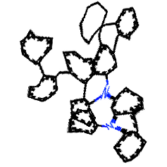 c1ccc(-c2ccccc2-c2ccccc2-c2ccccc2N(c2ccc3c(c2)-c2ccccc2C32CCCCC2)c2cccc3c4ccccc4n(-c4ccccc4)c23)cc1